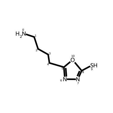 NCCCCc1nnc(S)o1